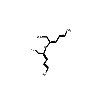 C/C=C/C=[C](\CC)[Ni]/[C](=C/C=C/C)CC